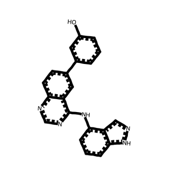 Oc1cccc(-c2ccc3ncnc(Nc4cccc5[nH]ncc45)c3c2)c1